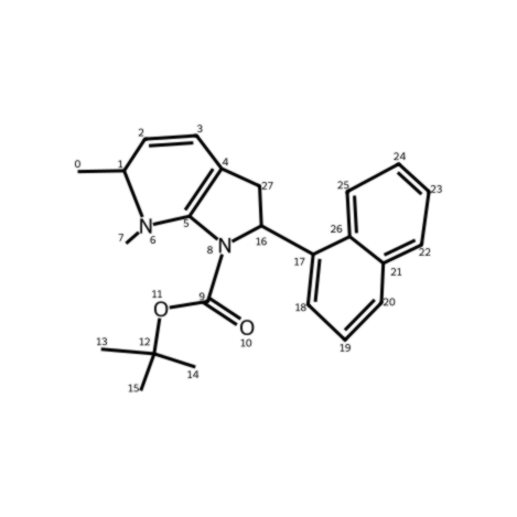 CC1C=CC2=C(N1C)N(C(=O)OC(C)(C)C)C(c1cccc3ccccc13)C2